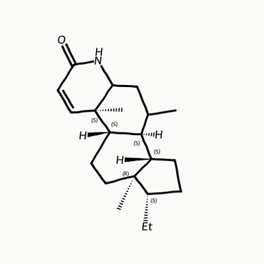 CC[C@H]1CC[C@H]2[C@@H]3C(C)CC4NC(=O)C=C[C@]4(C)[C@H]3CC[C@]12C